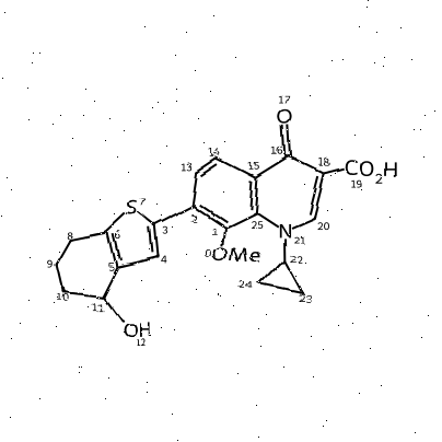 COc1c(-c2cc3c(s2)CCCC3O)ccc2c(=O)c(C(=O)O)cn(C3CC3)c12